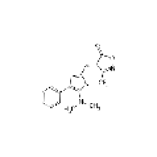 CN(C)c1sc(/C=C2/C(=O)ON=C2C(F)(F)F)cc1-c1ccccc1